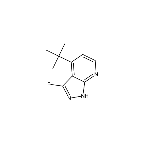 CC(C)(C)c1ccnc2[nH]nc(F)c12